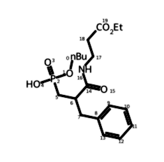 CCCCOP(=O)(O)CC(Cc1ccccc1)C(=O)NCCC(=O)OCC